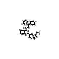 CN(C)Cc1cnc2ccc(-c3nc(NCC(c4ccccc4)c4ccccc4)c4ccccc4n3)cn12